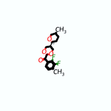 Cc1ccc(C(=O)C2OCC([C@@H]3CCC(C)CO3)CO2)c(F)c1F